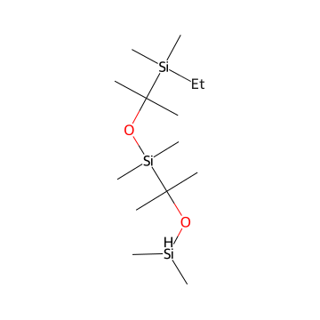 CC[Si](C)(C)C(C)(C)O[Si](C)(C)C(C)(C)O[SiH](C)C